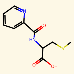 CSCC(NC(=O)c1ccccn1)C(=O)O